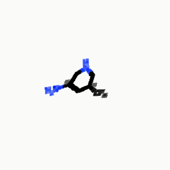 N[C@H]1CNC[C@@H](C(F)(F)F)C1